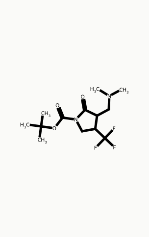 CN(C)CC1C(=O)N(C(=O)OC(C)(C)C)CC1C(F)(F)F